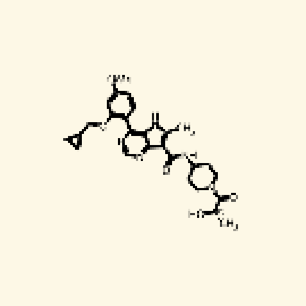 COc1ccc(-c2ncnc3c(C(=O)NC4CCN(C(=O)[C@H](C)O)CC4)c(C)[nH]c23)c(OCC2CC2)c1